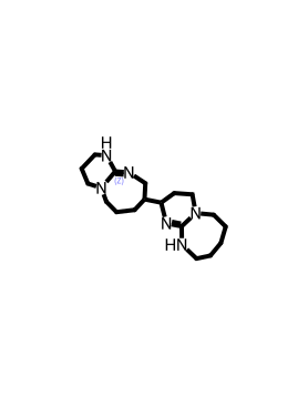 C1CCNC2=NC(C3CCCN4CCCN/C4=N/C3)CCN2CC1